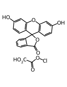 O=C(O)C(=O)OCl.O=C1OC2(c3ccc(O)cc3Oc3cc(O)ccc32)c2ccccc21